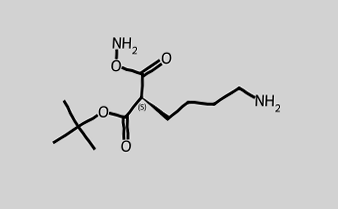 CC(C)(C)OC(=O)[C@H](CCCCN)C(=O)ON